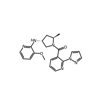 COc1cccnc1N[C@@H]1C[C@@H](C)N(C(=O)c2cccnc2-n2cccn2)C1